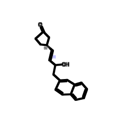 O=C1CC[C@H](/C=C/C(O)Cc2ccc3ccccc3c2)C1